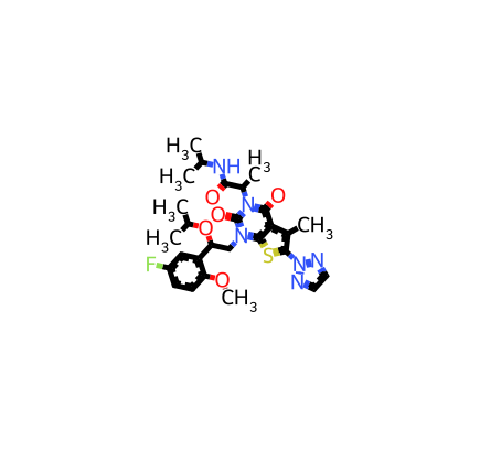 COc1ccc(F)cc1C(Cn1c(=O)n(C(C)C(=O)NC(C)C)c(=O)c2c(C)c(-n3nccn3)sc21)OC(C)C